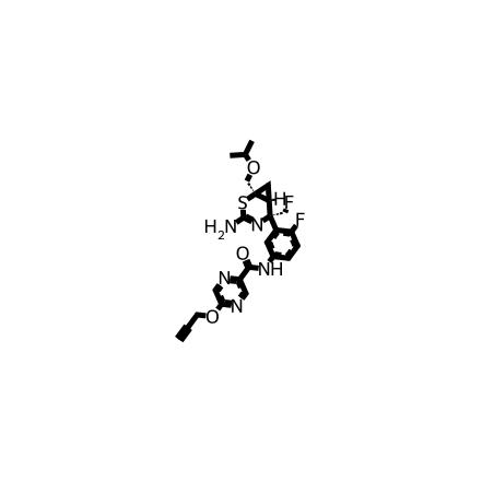 C#CCOc1cnc(C(=O)Nc2ccc(F)c([C@@]3(CF)N=C(N)S[C@@]4(COC(C)C)C[C@H]43)c2)cn1